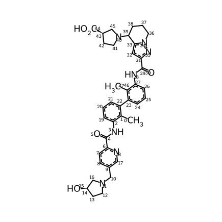 Cc1c(NC(=O)c2ccc(CN3CC[C@@H](O)C3)cn2)cccc1-c1cccc(NC(=O)c2cc3n(n2)CCCC3N2CC[C@@H](C(=O)O)C2)c1C